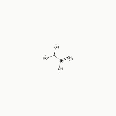 C=[Si](O)C(O)O